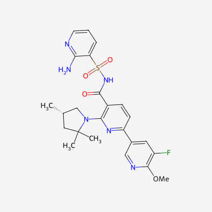 COc1ncc(-c2ccc(C(=O)NS(=O)(=O)c3cccnc3N)c(N3C[C@@H](C)CC3(C)C)n2)cc1F